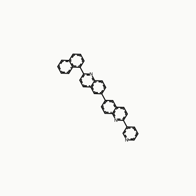 c1cncc(-c2ccc3cc(-c4ccc5nc(-c6cccc7ccccc67)ccc5c4)ccc3n2)c1